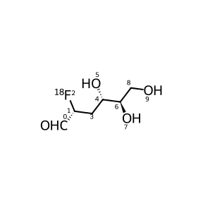 O=C[C@H]([18F])C[C@H](O)[C@H](O)CO